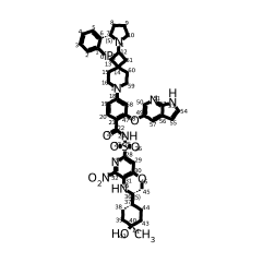 CC(C)c1ccccc1[C@@H]1CCCN1C1CC2(CCN(c3ccc(C(=O)NS(=O)(=O)c4cc5c(c([N+](=O)[O-])n4)N[C@@H]([C@H]4CC[C@](C)(O)CC4)CO5)c(Oc4cnc5[nH]ccc5c4)c3)CC2)C1